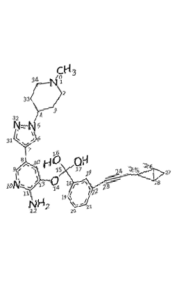 CN1CCC(n2cc(-c3cnc(N)c(OC(O)(O)c4cccc(C#CC5C6CC56)c4)c3)cn2)CC1